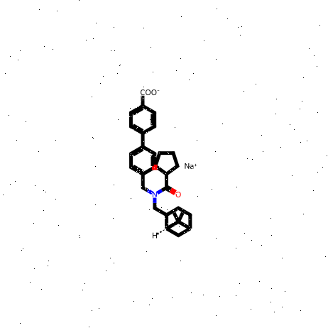 CC1(C)C2CCC(CN(Cc3ccc(-c4ccc(C(=O)[O-])cc4)cc3)C(=O)C3CCCC3)[C@@H]1C2.[Na+]